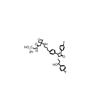 CC(C)[C@@H](NC(=O)CC1(NCCCc2ccc(C3[C@@H](CCC(O)c4ccc(F)cc4)C(=O)N3c3ccc(F)cc3)cc2)COC1)C(=O)O